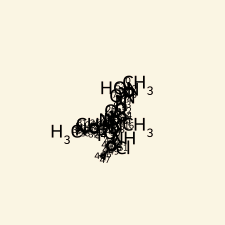 Cc1ncnc(C(=O)N2CCC3(CC2)C[C@H](C)c2c3c(=O)n3nc(-c4ccc(CN(C)C)cc4F)nc3n2CC(=O)Nc2ccc(C3CC3)cc2Cl)c1O